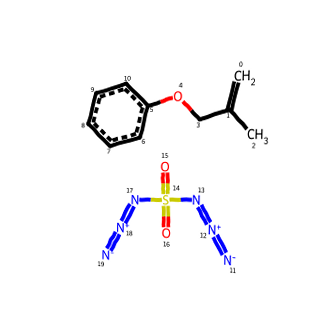 C=C(C)COc1ccccc1.[N-]=[N+]=NS(=O)(=O)N=[N+]=[N-]